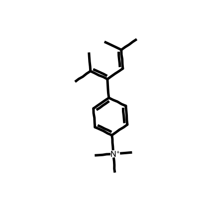 CC(C)=CC(=C(C)C)c1ccc([N+](C)(C)C)cc1